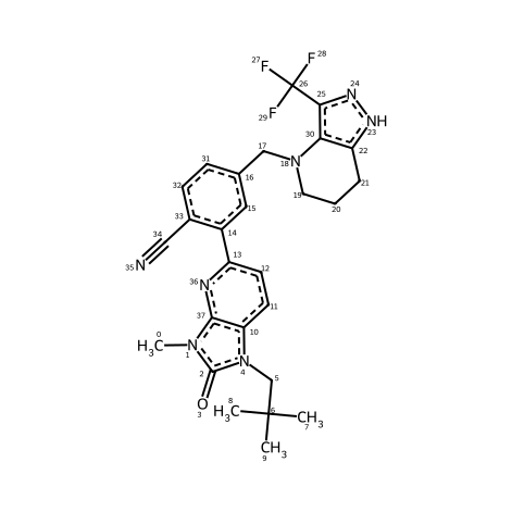 Cn1c(=O)n(CC(C)(C)C)c2ccc(-c3cc(CN4CCCc5[nH]nc(C(F)(F)F)c54)ccc3C#N)nc21